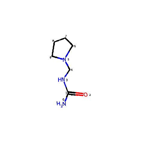 NC(=O)NCN1CCCC1